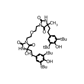 CC1(CCc2cc(C(C)(C)C)c(O)c(C(C)(C)C)c2)NC(=O)N(CCOCCN2C(=O)NC(C)(CCc3cc(C(C)(C)C)c(O)c(C(C)(C)C)c3)C2=O)C1=O